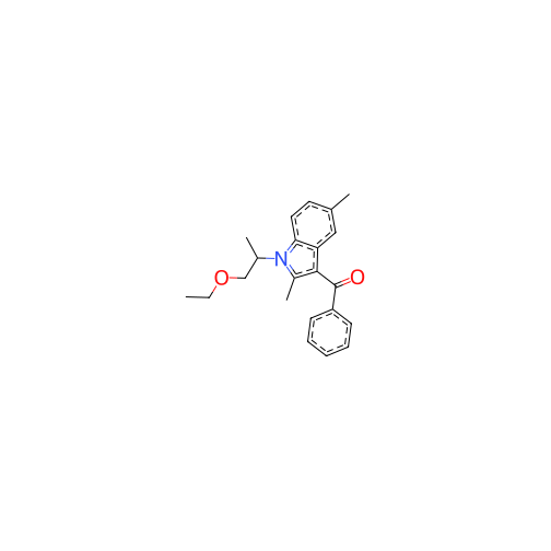 CCOCC(C)n1c(C)c(C(=O)c2ccccc2)c2cc(C)ccc21